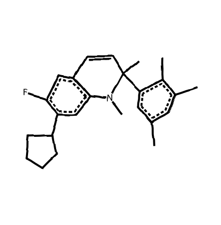 Cc1cc(C)c(C)c(C2(C)C=Cc3cc(F)c(C4CCCC4)cc3N2C)c1